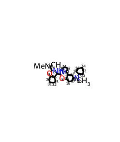 CNC(C)C(=O)N[C@H](C(=O)N1CCCC1c1cccc(N(C)c2ccccc2)c1)C1CCCCC1